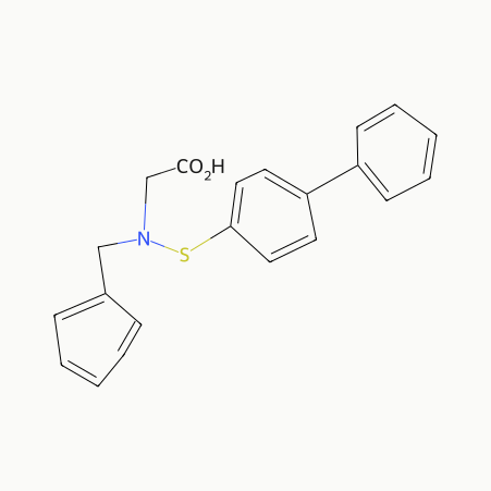 O=C(O)CN(Cc1ccccc1)Sc1ccc(-c2ccccc2)cc1